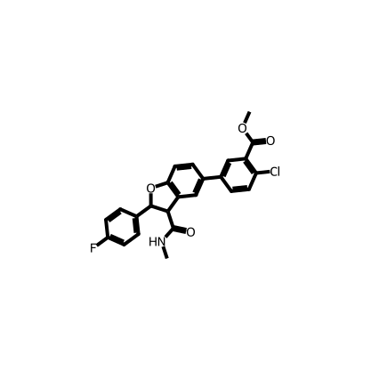 CNC(=O)C1c2cc(-c3ccc(Cl)c(C(=O)OC)c3)ccc2OC1c1ccc(F)cc1